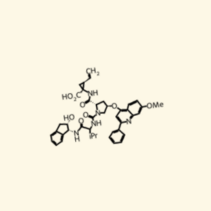 C=C[C@@H]1C[C@]1(NC(=O)[C@@H]1C[C@@H](Oc2cc(-c3ccccc3)nc3cc(OC)ccc23)CN1C(=O)NC(C(=O)N[C@@H]1c2ccccc2C[C@@H]1O)C(C)C)C(=O)O